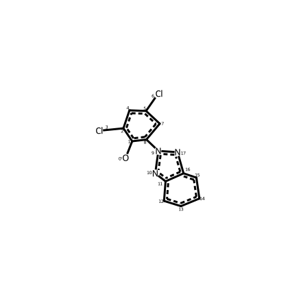 [O]c1c(Cl)cc(Cl)cc1-n1nc2ccccc2n1